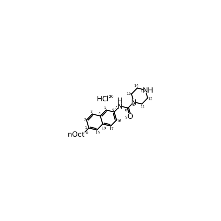 CCCCCCCCc1ccc2cc(NC(=O)N3CCNCC3)ccc2c1.Cl